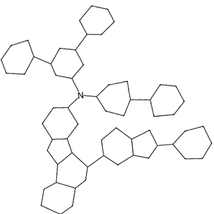 C1CCC(C2CCC(N(C3CC(C4CCCCC4)CC(C4CCCCC4)C3)C3CCC4CC5C6CCCCC6CC(C6CCC7CC(C8CCCCC8)CC7C6)C5C4C3)CC2)CC1